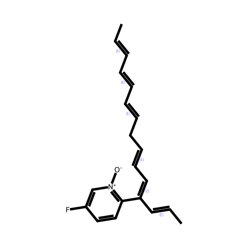 C/C=C/C=C/C=C/C/C=C/C=C(/C=C/C)c1ccc(F)c[n+]1[O-]